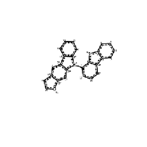 c1ccc2c(c1)sc1c(-n3c4ccccc4c4cc5ccoc5cc43)cccc12